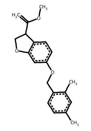 C=C(OC)C1COc2cc(OCc3ccc(C)cc3C)ccc21